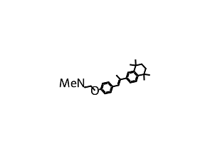 CNCCOc1ccc(C=C(C)c2ccc3c(c2)C(C)(C)CCC3(C)C)cc1